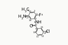 Cc1cc(F)c(NC(=O)c2cccc(Cl)c2)cc1N